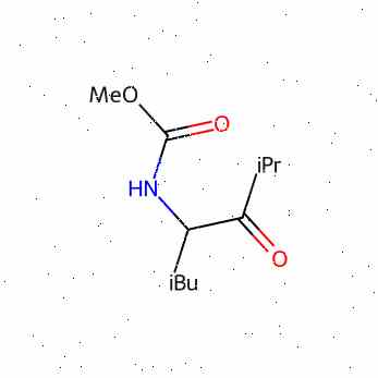 CCC(C)C(NC(=O)OC)C(=O)C(C)C